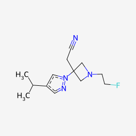 CC(C)c1cnn(C2(CC#N)CN(CCF)C2)c1